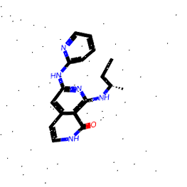 CC[C@H](C)Nc1nc(Nc2ccccn2)cc2cc[nH]c(=O)c12